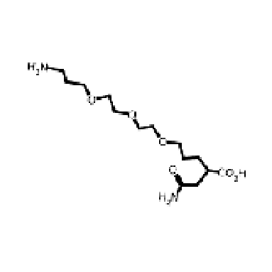 NCCCOCCOCCOCCCC(CC(N)=O)C(=O)O